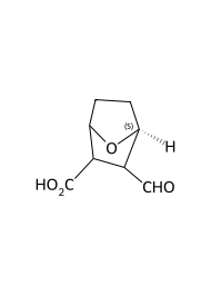 O=CC1C(C(=O)O)C2CC[C@@H]1O2